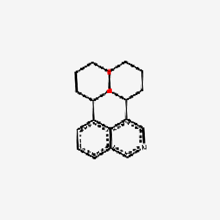 c1cc(C2CCCCC2)c2c(C3CCCCC3)cncc2c1